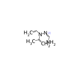 C=CN(/N=C\N)C(=C)C